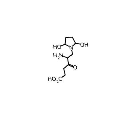 NC(CN1C(O)CCC1O)C(=O)CCC(=O)O